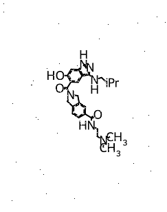 CC(C)CNc1n[nH]c2cc(O)c(C(=O)N3Cc4ccc(C(=O)NCCN(C)C)cc4C3)cc12